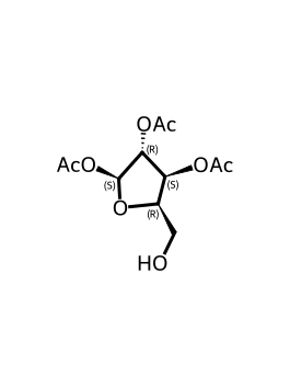 CC(=O)O[C@@H]1O[C@H](CO)[C@H](OC(C)=O)[C@H]1OC(C)=O